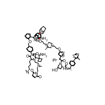 Cc1ncsc1-c1ccc([C@H](C)NC(=O)[C@@H]2C[C@@H](O)CN2C(=O)[C@@H](c2cc(OCCN3CCN(CCOc4cc(N5C6CCC5CN(c5cc(-c7ccccc7OCc7ccc(NC(=O)[C@H](CCCCN(C)C)N(CCN(C)CCN8C(=O)C=CC8=O)C(=O)C8(C(N)=O)CCC8)cc7)nnc5N)C6)ccn4)[C@H](C)C3)no2)C(C)C)cc1